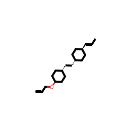 C=CCO[C@H]1CC[C@H](CC[C@H]2CC[C@H](C=CC)CC2)CC1